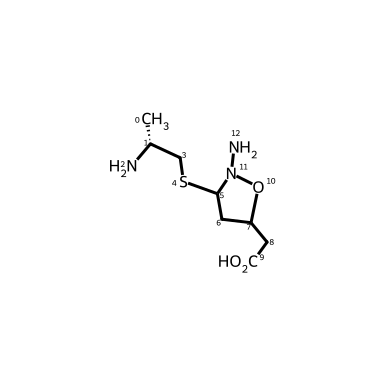 C[C@@H](N)CSC1CC(CC(=O)O)ON1N